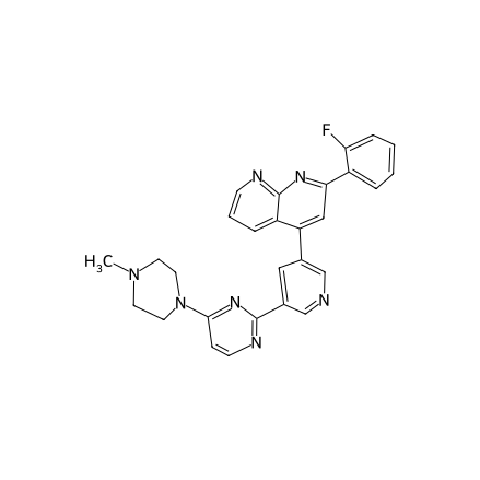 CN1CCN(c2ccnc(-c3cncc(-c4cc(-c5ccccc5F)nc5ncccc45)c3)n2)CC1